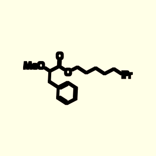 COC(Cc1ccccc1)C(=O)OCCCCCC(C)C